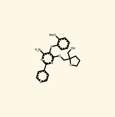 COc1ccccc1Oc1c(N)nc(-c2ccncc2)nc1OCC1(CO)CCCO1